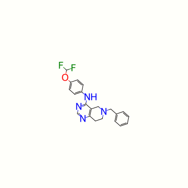 FC(F)Oc1ccc(Nc2ncnc3c2CN(Cc2ccccc2)CC3)cc1